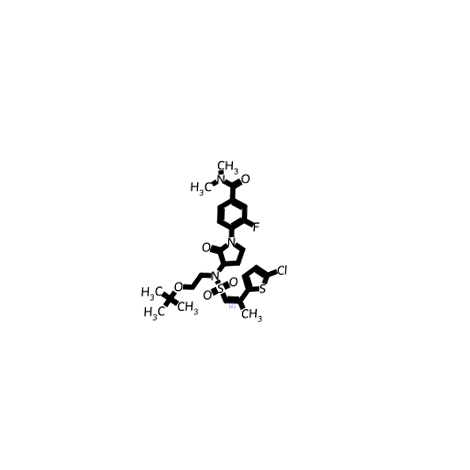 C/C(=C/S(=O)(=O)N(CCOC(C)(C)C)C1CCN(c2ccc(C(=O)N(C)C)cc2F)C1=O)c1ccc(Cl)s1